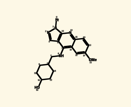 CCn1ncc2c(NCC3CCC(O)CC3)c3cc(OC)ccc3nc21